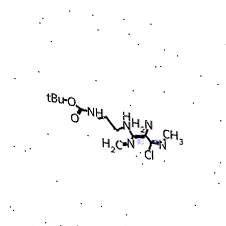 C=N/C(NCCCNC(=O)OC(C)(C)C)=C(N)\C(Cl)=N/C